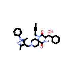 CC#CCN1C(=O)[C@H]([C@@H](O)C2CCCCC2)NC(=O)C12CCN(Cc1c(C)nn(-c3ccccc3)c1C)CC2